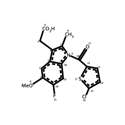 COc1cc2c(CC(=O)O)c(C)n(C(=O)c3ccc(Cl)s3)c2cc1F